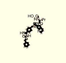 CC(C)[C@@H](NCC(=O)O)C(=O)NC1(C(=O)NCc2ccc(C(=N)NC(=O)OCc3ccccc3)cc2)Cc2cccnc2C1